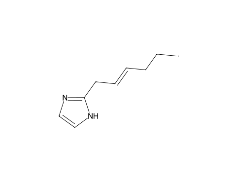 [CH2]CC/C=C/Cc1ncc[nH]1